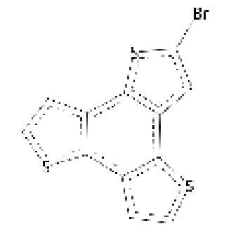 Brc1cc2c3sccc3c3sccc3c2s1